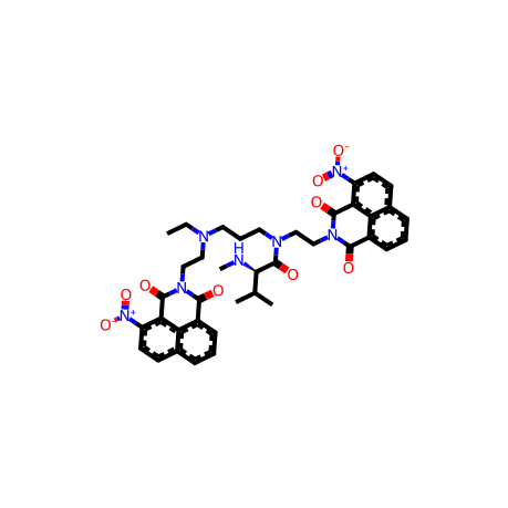 CCN(CCCN(CCN1C(=O)c2cccc3ccc([N+](=O)[O-])c(c23)C1=O)C(=O)[C@H](NC)C(C)C)CCN1C(=O)c2cccc3ccc([N+](=O)[O-])c(c23)C1=O